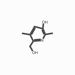 Cc1cc(O)c(C)nc1CO